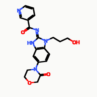 O=C(/N=c1\[nH]c2cc(N3CCOCC3=O)ccc2n1CCCO)c1cccnc1